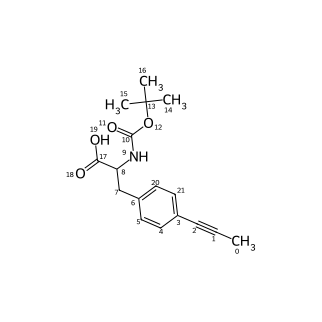 CC#Cc1ccc(CC(NC(=O)OC(C)(C)C)C(=O)O)cc1